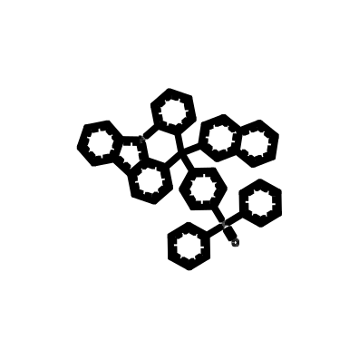 O=P(c1ccccc1)(c1ccccc1)c1ccc(C2(c3ccc4ccccc4c3)c3ccccc3-n3c4ccccc4c4cccc2c43)cc1